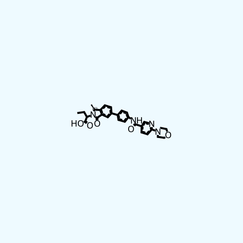 CCC(C(=O)O)N1C(=O)c2cc(-c3ccc(NC(=O)c4ccc(N5CCOCC5)nc4)cc3)ccc2[C@@H]1C